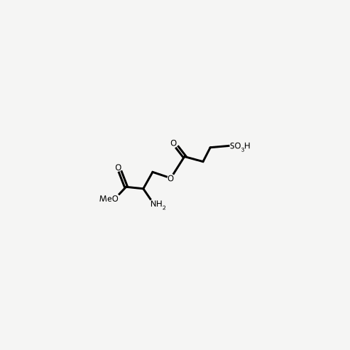 COC(=O)C(N)COC(=O)CCS(=O)(=O)O